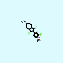 CCCC1CCC2C(F)C(c3ccc(OCC)c(F)c3F)C(F)C2CC1